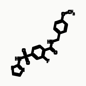 O=C(NCc1ccc(OC(F)(F)F)cc1)c1ccc(S(=O)(=O)Nc2nccs2)cc1F